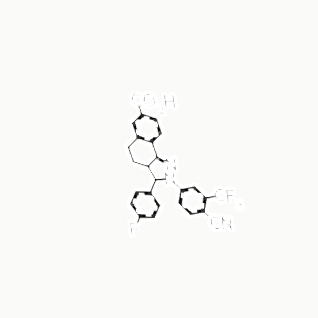 N#Cc1ccc(N2N=C3c4ccc(C(=O)O)cc4CCC3C2c2ccc(F)cc2)cc1C(F)(F)F